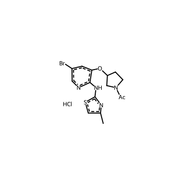 CC(=O)N1CCC(Oc2cc(Br)cnc2Nc2nc(C)cs2)C1.Cl